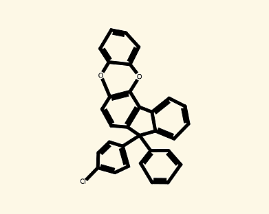 Clc1ccc(C2(c3ccccc3)c3ccccc3-c3c2ccc2c3Oc3ccccc3O2)cc1